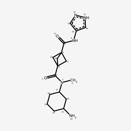 CN(C(=O)C12CC(C(=O)Nc3cn[nH]c3)(C1)C2)C1CCCC(N)C1